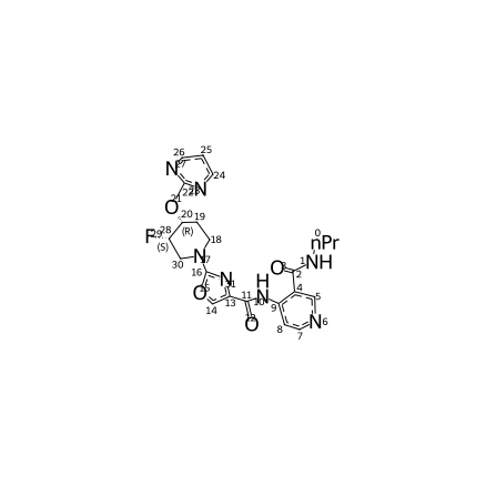 CCCNC(=O)c1cnccc1NC(=O)c1coc(N2CC[C@@H](Oc3ncccn3)[C@@H](F)C2)n1